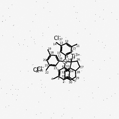 Cc1cc(C)cc([Si](c2cc(C)cc(C)c2)(c2cc(C)cc(C)c2)[C]2([Ti+3])CCC3CC=CC=C32)c1.[Cl-].[Cl-].[Cl-]